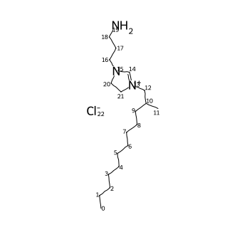 CCCCCCCCCCC(C)C[N+]1=CN(CCCN)CC1.[Cl-]